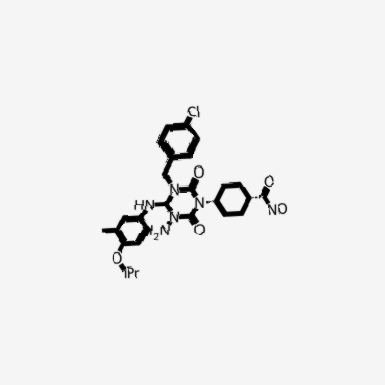 Cc1cc(NC2N(N)C(=O)N([C@H]3CC[C@@H](C(=O)N=O)CC3)C(=O)N2Cc2ccc(Cl)cc2)ccc1OC(C)C